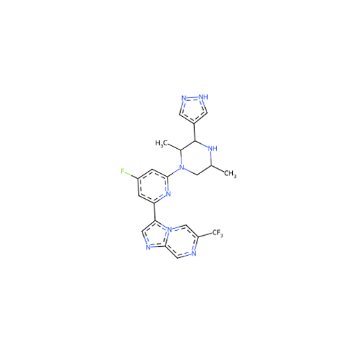 CC1CN(c2cc(F)cc(-c3cnc4cnc(C(F)(F)F)cn34)n2)C(C)C(c2cn[nH]c2)N1